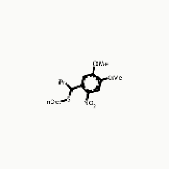 CCCCCCCCSC(c1cc(OC)c(OC)cc1[N+](=O)[O-])C(C)C